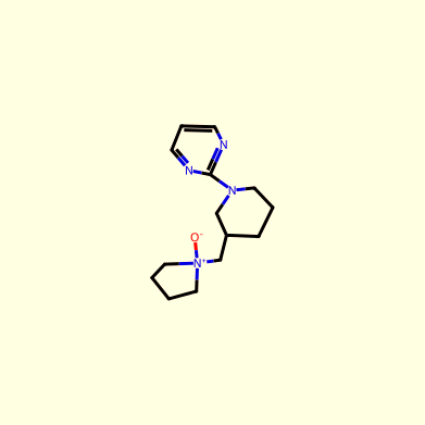 [O-][N+]1(CC2CCCN(c3ncccn3)C2)CCCC1